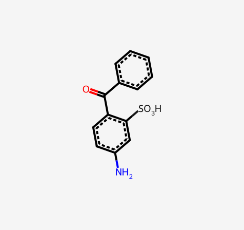 Nc1ccc(C(=O)c2ccccc2)c(S(=O)(=O)O)c1